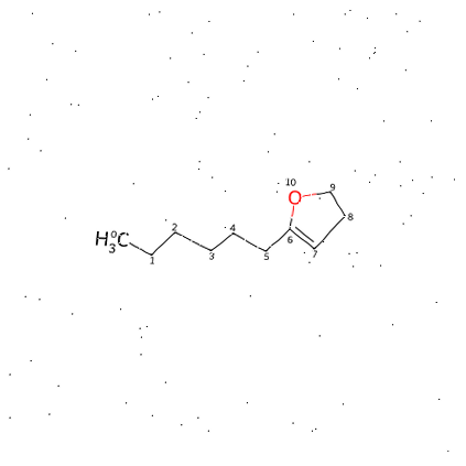 CCCCCCC1=CCCO1